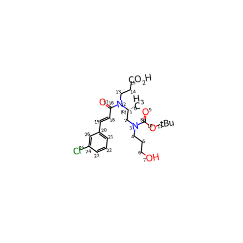 C[C@H](CN(CCCO)C(=O)OC(C)(C)C)N(CCC(=O)O)C(=O)C=Cc1cccc(Cl)c1